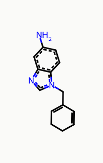 Nc1ccc2c(c1)ncn2CC1=CCCC=C1